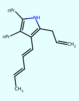 C=CCc1[nH]c(CCC)c(CCC)c1C=CC=CC